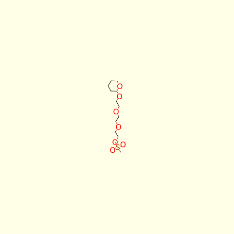 CS(=O)(=O)OCCOCCOCCOC1CCCCO1